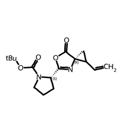 C=CC1C[C@@]12N=C([C@@H]1CCCN1C(=O)OC(C)(C)C)OC2=O